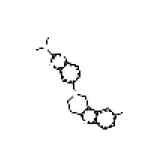 CN(C)c1nc2cc(N3CCc4[nH]c5ccc(O)cc5c4C3)ccc2s1